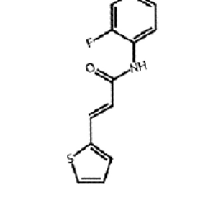 O=C(C=Cc1cccs1)Nc1ccccc1F